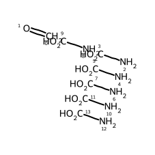 C=O.NC(=O)O.NC(=O)O.NC(=O)O.NC(=O)O.NC(=O)O.NC(=O)O